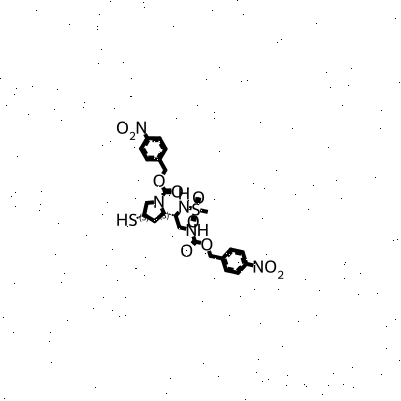 CS(=O)(=O)NC(CNC(=O)OCc1ccc([N+](=O)[O-])cc1)[C@@H]1C[C@H](S)CN1C(=O)OCc1ccc([N+](=O)[O-])cc1